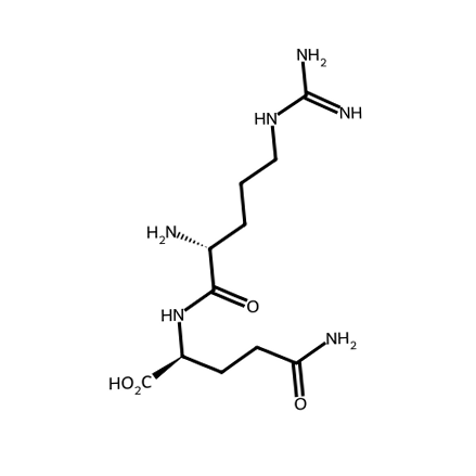 N=C(N)NCCC[C@@H](N)C(=O)N[C@@H](CCC(N)=O)C(=O)O